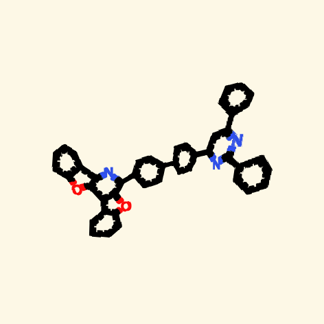 c1ccc(-c2cc(-c3ccc(-c4ccc(-c5nc6c7ccccc7oc6c6c5oc5ccccc56)cc4)cc3)nc(-c3ccccc3)n2)cc1